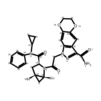 NC(=O)c1nn(CC(=O)N2[C@@H]3C[C@@H]3C[C@H]2C(=O)N(c2ccccc2)C2CC2)c2cc3c(cc12)OCCO3